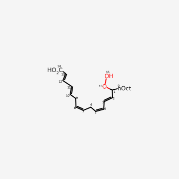 CCCCCCCCC(/C=C/C=C\C/C=C\CC=CC=CC(=O)O)OO